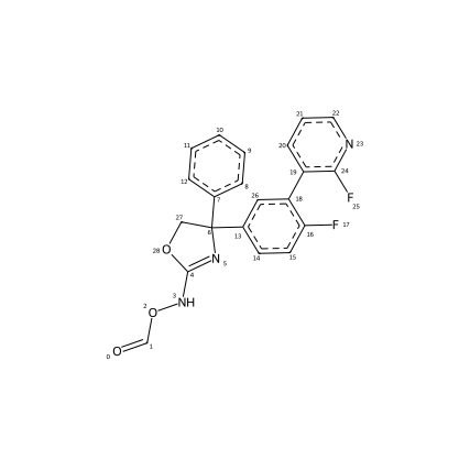 O=CONC1=NC(c2ccccc2)(c2ccc(F)c(-c3cccnc3F)c2)CO1